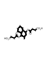 Cc1cc(OC(=O)CCC(=O)O)c2ccccc2c1OC(=O)CCC(=O)O